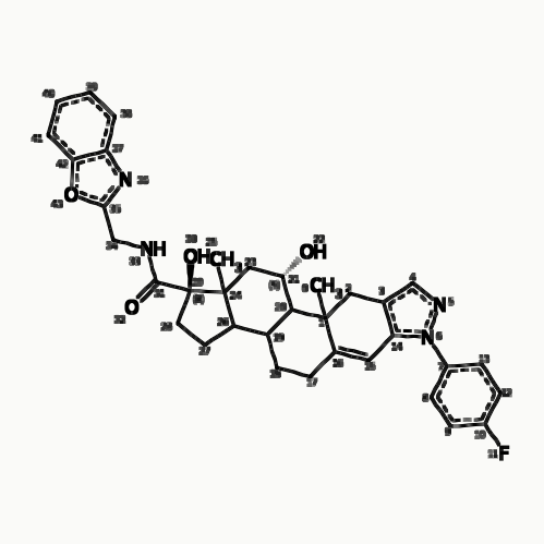 CC12Cc3cnn(-c4ccc(F)cc4)c3C=C1CCC1C2[C@@H](O)CC2(C)C1CC[C@]2(O)C(=O)NCc1nc2ccccc2o1